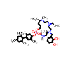 CCN(CCN(CCN(CC=O)CCN(C)[C@H](CCCOP(=O)(O)Oc1cc(C)c(-c2c(C)cc(C)cc2C)cc1C)C(=O)O)Cc1cccc(O)c1O)CC(=O)O